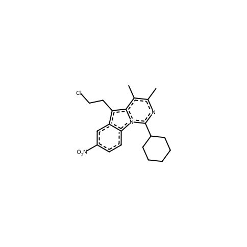 Cc1nc(C2CCCCC2)n2c(c1C)c(CCCl)c1cc([N+](=O)[O-])ccc12